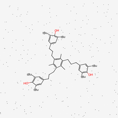 Cc1c(CCCc2cc(C(C)(C)C)c(O)c(C(C)(C)C)c2)c(C)c(CCCc2cc(C(C)(C)C)c(O)c(C(C)(C)C)c2)c(C)c1CCCc1cc(C(C)(C)C)c(O)c(C(C)(C)C)c1